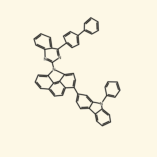 c1ccc(-c2ccc(-c3nc(-n4c5cccc6ccc7c(-c8ccc9c%10ccccc%10n(-c%10ccccc%10)c9c8)ccc4c7c65)nc4ccccc34)cc2)cc1